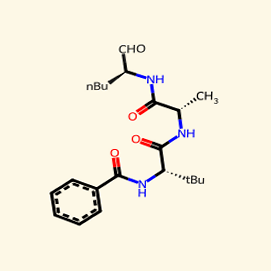 CCCC[C@@H](C=O)NC(=O)[C@H](C)NC(=O)[C@@H](NC(=O)c1ccccc1)C(C)(C)C